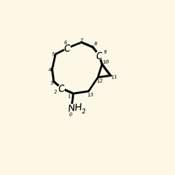 NC1CCCCCCCCC2CC2C1